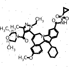 CCn1nc(C)c(C(=O)N2C[C@@H](C)O[C@@H](C)C2)c1C1=Cc2cc(OC)ccc2-c2c(C3CCCCC3)c3ccc(C(=O)NS(=O)(=O)C4CC4)cc3n2C1